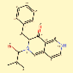 CC(C)C(Br)N1C=C2C=CNC=C2C(=O)C1Cc1ccccc1